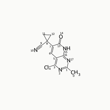 Cc1nc(Cl)c2cc(C3(C#N)CC3)c(=O)[nH]c2n1